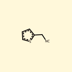 [C-]#[N+]Cc1cccs1